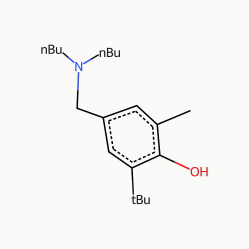 CCCCN(CCCC)Cc1cc(C)c(O)c(C(C)(C)C)c1